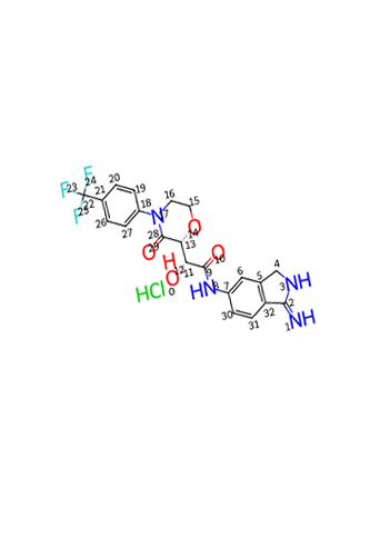 Cl.N=C1NCc2cc(NC(=O)[C@H](O)[C@H]3OCCN(c4ccc(C(F)(F)F)cc4)C3=O)ccc21